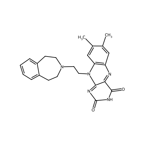 Cc1cc2nc3c(=O)[nH]c(=O)nc-3n(CCN3CCc4ccccc4CC3)c2cc1C